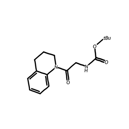 CC(C)(C)OC(=O)NCC(=O)N1CCCc2ccccc21